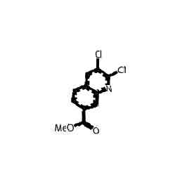 COC(=O)c1ccc2cc(Cl)c(Cl)nc2c1